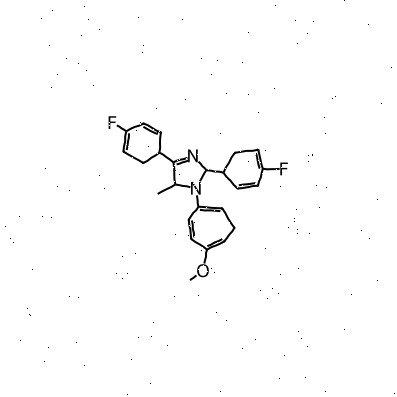 COC1=CCC=C(N2C(C)C(C3C=CC(F)=CC3)=NC2C2C=CC(F)=CC2)C=C1